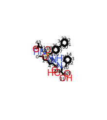 CCCc1cc(C(=O)N[C@H](Cc2ccccc2)[C@@H](O)C(=O)O)nn1C(c1ccc(-c2ccccc2)cc1)S(=O)(=O)NCC(C)=O